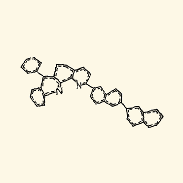 c1ccc(-c2c3ccccc3nc3c2ccc2ccc(-c4ccc5cc(-c6ccc7ccccc7c6)ccc5c4)nc23)cc1